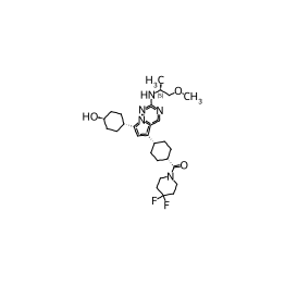 COC[C@H](C)Nc1ncc2c([C@H]3CC[C@@H](C(=O)N4CCC(F)(F)CC4)CC3)cc([C@H]3CC[C@H](O)CC3)n2n1